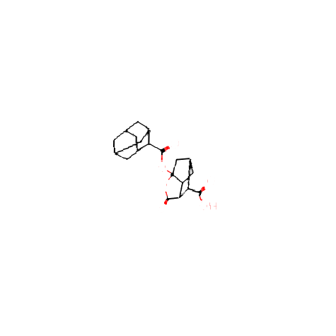 O=C(OC12CC3CC1C(C(=O)O2)C3C(=O)O)C1C2CC3CC(C2)CC1C3